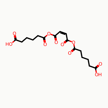 O=C(O)CCCCC(=O)OC(=O)/C=C\C(=O)OC(=O)CCCCC(=O)O